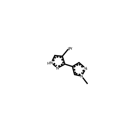 CC(C)c1c[nH]nc1-c1cnn(C)c1